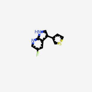 Fc1cnc2[nH]cc(-c3ccsc3)c2c1